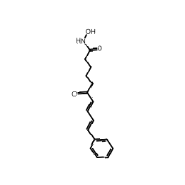 O=C(C=CC=Cc1ccccc1)CCCCC(=O)NO